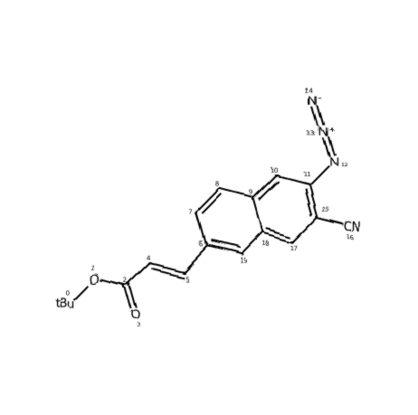 CC(C)(C)OC(=O)/C=C/c1ccc2cc(N=[N+]=[N-])c(C#N)cc2c1